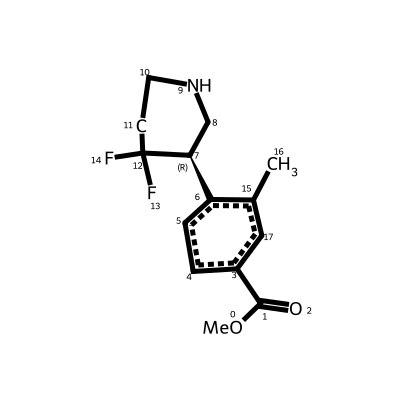 COC(=O)c1ccc([C@@H]2CNCCC2(F)F)c(C)c1